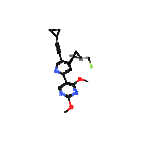 COc1ncc(-c2cc([C@H]3C[C@@H]3CF)c(C#CC3CC3)cn2)c(OC)n1